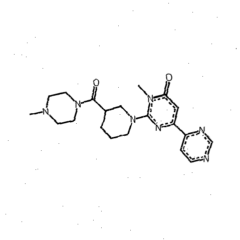 CN1CCN(C(=O)C2CCCN(c3nc(-c4ccncn4)cc(=O)n3C)C2)CC1